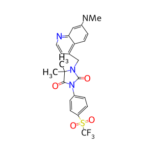 CNc1ccc2c(CN3C(=O)N(c4ccc(S(=O)(=O)C(F)(F)F)cc4)C(=O)C3(C)C)ccnc2c1